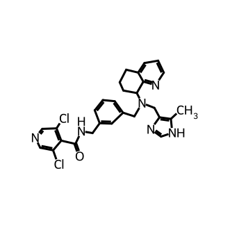 Cc1[nH]cnc1CN(Cc1cccc(CNC(=O)c2c(Cl)cncc2Cl)c1)C1CCCc2cccnc21